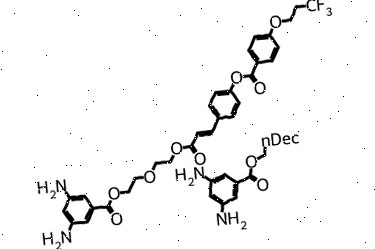 CCCCCCCCCCCOC(=O)c1cc(N)cc(N)c1.Nc1cc(N)cc(C(=O)OCCOCCOC(=O)C=Cc2ccc(OC(=O)c3ccc(OCCC(F)(F)F)cc3)cc2)c1